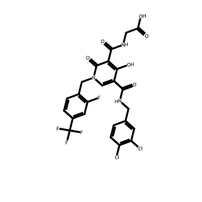 O=C(O)CNC(=O)c1c(O)c(C(=O)NCc2ccc(Cl)c(Cl)c2)cn(Cc2ccc(C(F)(F)F)cc2F)c1=O